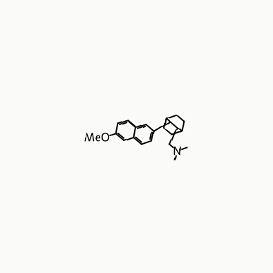 COc1ccc2cc(C3C4CCC(CC4)C3CN(C)C)ccc2c1